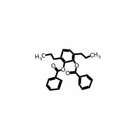 CCCc1ccc(CCC)c(OC(=O)c2ccccc2)c1OC(=O)c1ccccc1